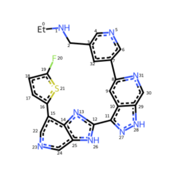 CCNCc1cncc(-c2cc3c(-c4nc5c(-c6ccc(F)s6)cncc5[nH]4)n[nH]c3cn2)c1